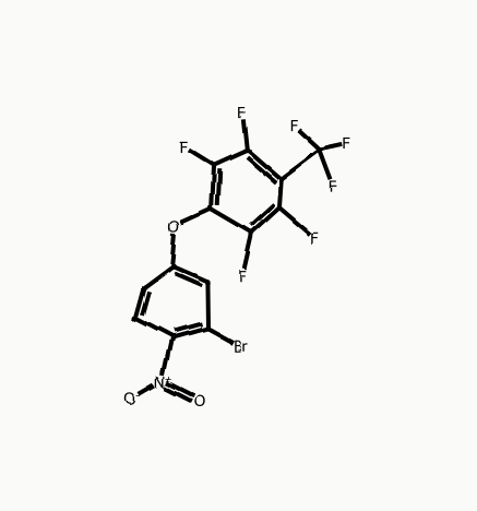 O=[N+]([O-])c1ccc(Oc2c(F)c(F)c(C(F)(F)F)c(F)c2F)cc1Br